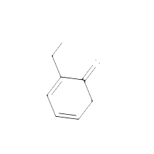 N=C1CC=CC=C1CCl